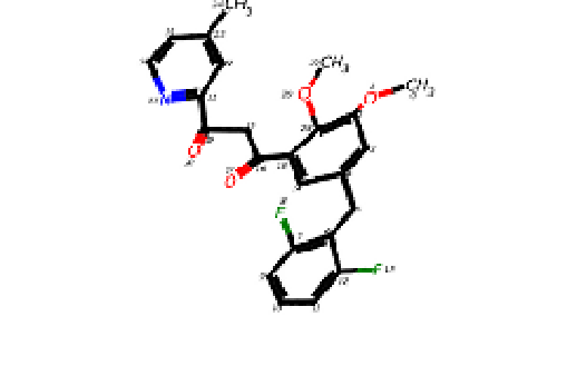 COc1cc(Cc2c(F)cccc2F)cc(C(=O)CC(=O)c2cc(C)ccn2)c1OC